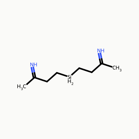 CC(=N)CC[SiH2]CCC(C)=N